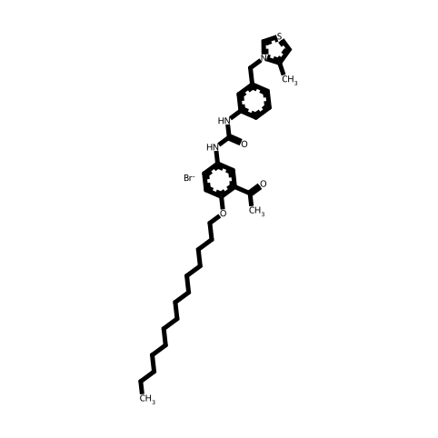 CCCCCCCCCCCCCCOc1ccc(NC(=O)Nc2cccc(C[n+]3cscc3C)c2)cc1C(C)=O.[Br-]